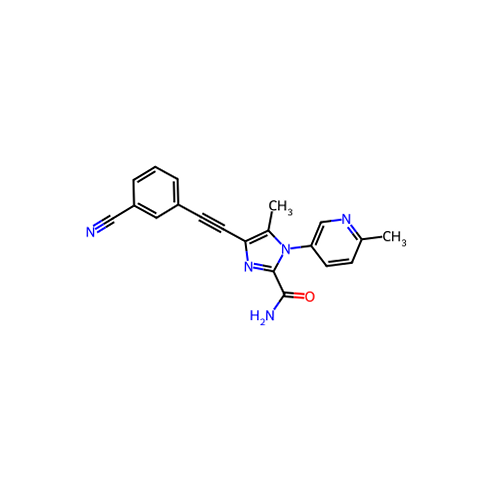 Cc1ccc(-n2c(C(N)=O)nc(C#Cc3cccc(C#N)c3)c2C)cn1